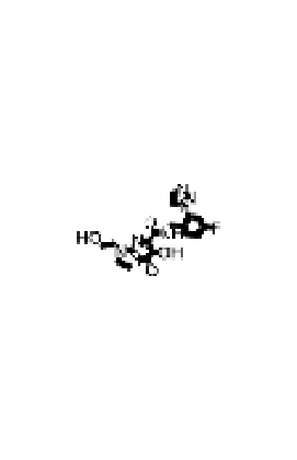 O=C(NCc1ccc(F)cc1-n1ccnn1)c1nc2n(c(=O)c1O)CCN2CCO